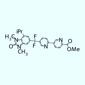 COC(=O)c1ccc(-c2ccc(C(F)(F)c3cc(C(C)C)c4c(c3)n(C)c(=O)n4C)cn2)cn1